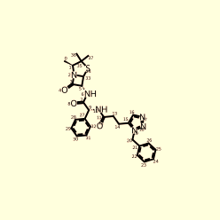 C[C@@H]1N2C(=O)[C@@H](NC(=O)[C@H](NC(=O)CCc3cnnn3Cc3ccccc3)c3ccccc3)C2SC1(C)C